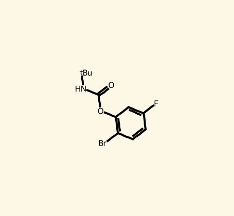 CC(C)(C)NC(=O)Oc1cc(F)ccc1Br